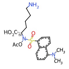 CC(=O)ON([C@@H](CCCCN)C(=O)O)S(=O)(=O)c1cccc2c(N(C)C)cccc12